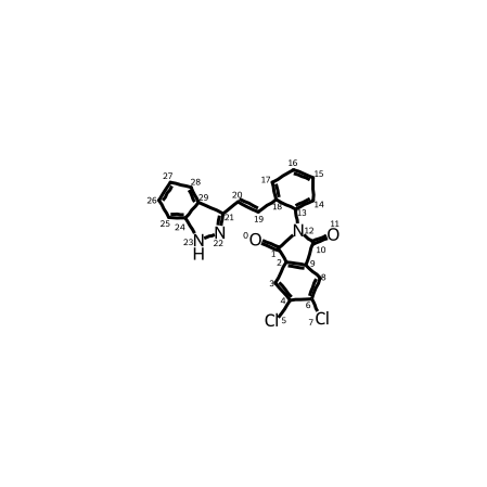 O=C1c2cc(Cl)c(Cl)cc2C(=O)N1c1ccccc1C=Cc1n[nH]c2ccccc12